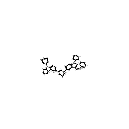 c1ccc(-n2c3ccccc3c3cc(-c4cccc(-c5ccc6c(c5)c5cnc7ccccc7c5n6-c5ccccc5)c4)ccc32)cc1